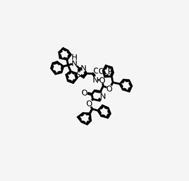 O=C(O)/C(=N\OC(OC(c1ccccc1)c1ccccc1)C1=CC(=O)C(OC(c2ccccc2)c2ccccc2)C=N1)c1csc(NC(c2ccccc2)(c2ccccc2)c2ccccc2)n1